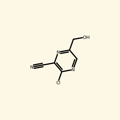 N#Cc1nc(CO)cnc1Cl